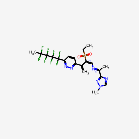 C=C(/C(=C\N=C(/C)c1ncn(C)n1)S(=O)(=O)CC)c1ccc(C(F)(F)C(F)(F)C(F)(F)C(C)(F)F)nn1